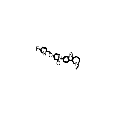 CCN1CCCc2c(c3ccc(-n4ccc(OCc5ccc(F)cn5)cc4=O)cc3n2C)C1